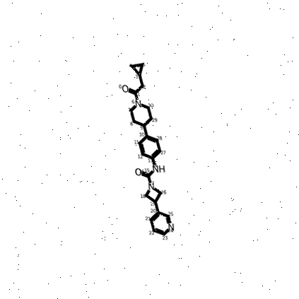 O=C(CC1CC1)N1CCC(c2ccc(NC(=O)N3CC(c4cccnc4)C3)cc2)CC1